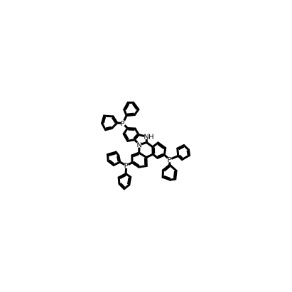 c1ccc(P(c2ccccc2)c2ccc3c(c2)NC2c4ccc(P(c5ccccc5)c5ccccc5)cc4-c4ccc(P(c5ccccc5)c5ccccc5)cc4N32)cc1